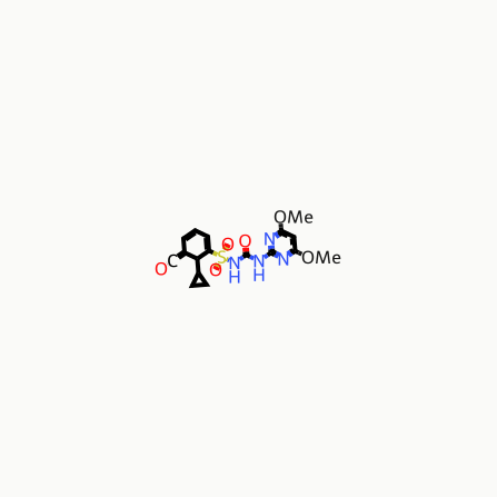 COc1cc(OC)nc(NC(=O)NS(=O)(=O)C2=CC=CC(=C=O)C2C2CC2)n1